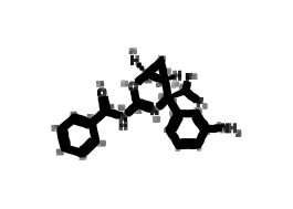 Nc1cccc([C@]2(C(F)F)N=C(NC(=O)c3ccccc3)O[C@H]3C[C@H]32)c1